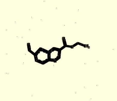 CCOC(=O)c1cnc2ccc(C=O)cc2c1